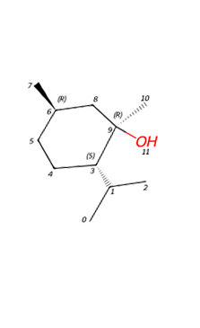 CC(C)[C@@H]1CC[C@@H](C)C[C@@]1(C)O